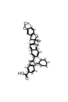 COc1ccc2c(c1)CC(Br)(c1ccc3cc(-c4nc5cc(C(=O)O)ccc5n4C4CCCCC4)ccc3n1)O2